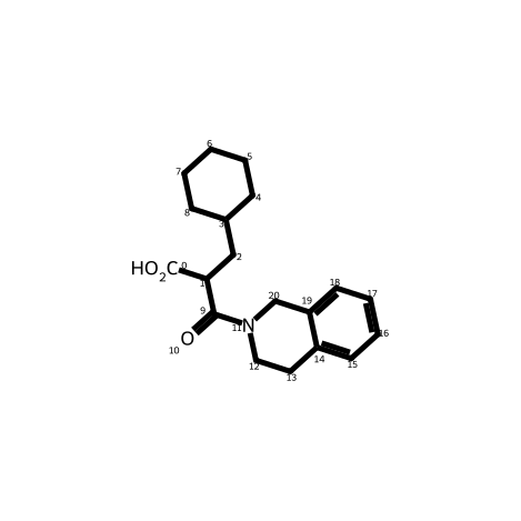 O=C(O)C(CC1CCCCC1)C(=O)N1CCc2ccccc2C1